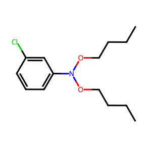 CCCCON(OCCCC)c1cccc(Cl)c1